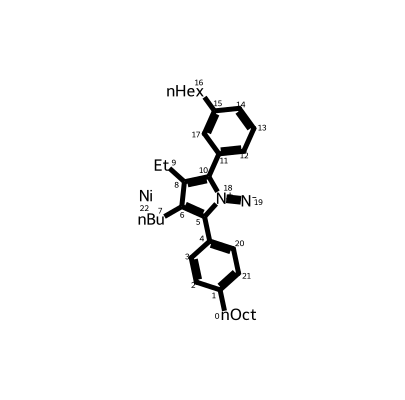 CCCCCCCCc1ccc(C2=C(CCCC)C(CC)=C(c3cccc(CCCCCC)c3)[N+]2=[N-])cc1.[Ni]